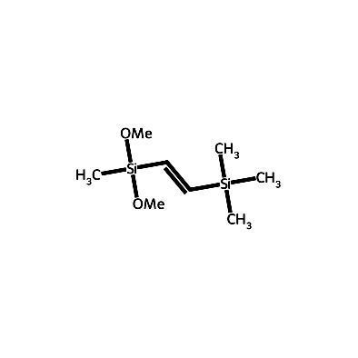 CO[Si](C)(/C=C/[Si](C)(C)C)OC